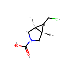 O=C(O)N1C[C@@H]2C(CCl)[C@@H]2C1